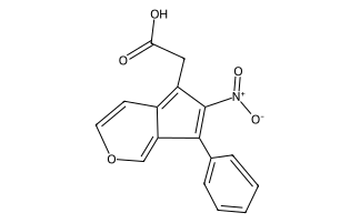 O=C(O)Cc1c2ccocc-2c(-c2ccccc2)c1[N+](=O)[O-]